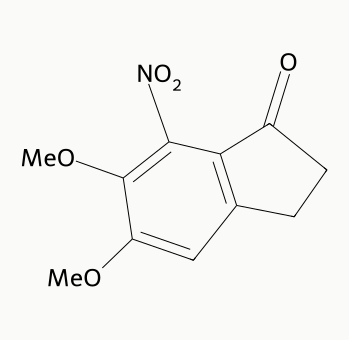 COc1cc2c(c([N+](=O)[O-])c1OC)C(=O)CC2